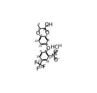 CC(Oc1ccc(Oc2ccc(C(F)(F)F)cc2[N+](=O)[O-])cc1)C(=O)O.Cl